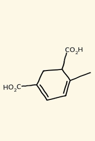 CC1=CC=C(C(=O)O)CC1C(=O)O